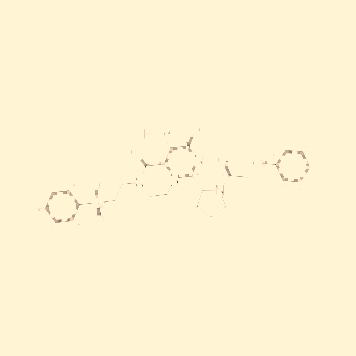 O=C1c2c(O)c(=O)nc(C3CCCN3C(=O)COc3ccccc3)n2CCN1CCS(=O)(=O)c1ccccc1